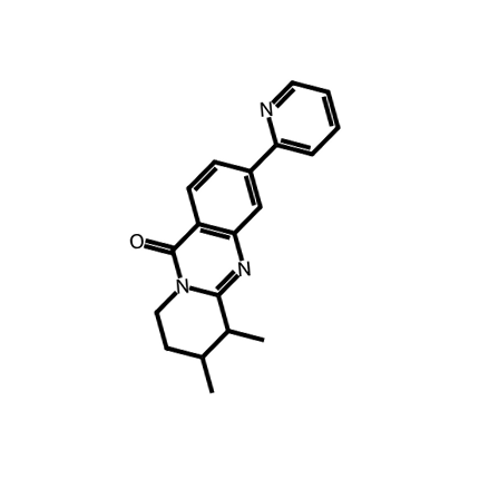 CC1CCn2c(nc3cc(-c4ccccn4)ccc3c2=O)C1C